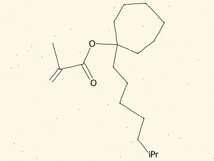 C=C(C)C(=O)OC1(CCCCCC(C)C)CCCCCC1